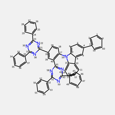 c1ccc(-c2ccc3c(c2)c2ccccc2n3-c2ccc(-c3nc(-c4ccccc4)nc(-c4ccccc4)n3)cc2-c2nc(-c3ccccc3)nc(-c3ccccc3)n2)cc1